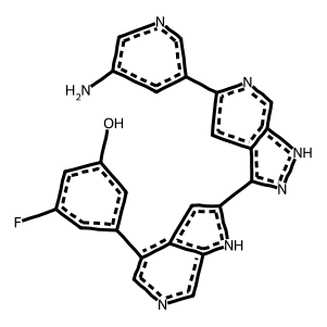 Nc1cncc(-c2cc3c(-c4cc5c(-c6cc(O)cc(F)c6)cncc5[nH]4)n[nH]c3cn2)c1